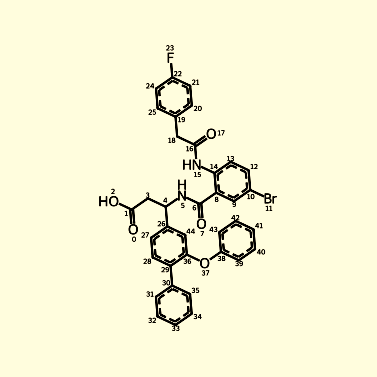 O=C(O)CC(NC(=O)c1cc(Br)ccc1NC(=O)Cc1ccc(F)cc1)c1ccc(-c2ccccc2)c(Oc2ccccc2)c1